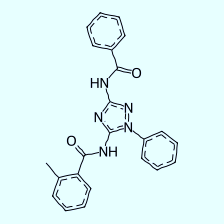 Cc1ccccc1C(=O)Nc1nc(NC(=O)c2ccccc2)nn1-c1ccccc1